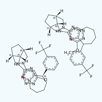 COc1cc(N2C[C@H]3CC[C@@H](C2)[C@H]3Nc2nc3n(n2)CCCCC3c2cccc(C(F)(F)F)c2)cnn1.FC(F)(F)c1cccc([C@H]2CCCCn3nc(N[C@H]4[C@@H]5CC[C@H]4CN(c4cnnc(Cl)c4)C5)nc32)c1